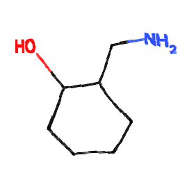 NCC1CCCCC1O